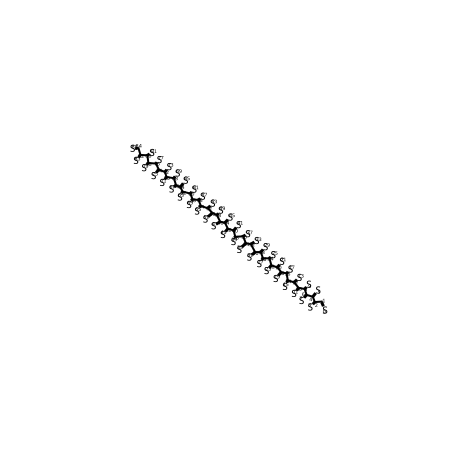 S=CC(=S)C(=S)C(=S)C(=S)C(=S)C(=S)C(=S)C(=S)C(=S)C(=S)C(=S)C(=S)C(=S)C(=S)C(=S)C(=S)C(=S)C(=S)C(=S)C(=S)C(=S)C(=S)C(=S)C(=S)C(=S)C(=S)C(=S)C(=S)C(=S)C(=S)C(=S)C(=S)C(=S)C(=S)C(=S)C(=S)C(=S)C(=S)C(=S)C(=S)C(=S)C=S